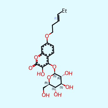 CC/C=C/CCOc1ccc2c(O[C@@H]3O[C@H](CO)[C@@H](O)[C@H](O)[C@H]3O)c(O)c(=O)oc2c1